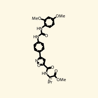 COC(=O)[C@@H](NC(=O)c1cc(-c2ccc(NC(=O)Nc3ccc(OC)cc3OC)cc2)no1)C(C)C